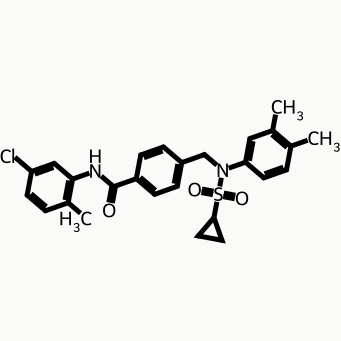 Cc1ccc(N(Cc2ccc(C(=O)Nc3cc(Cl)ccc3C)cc2)S(=O)(=O)C2CC2)cc1C